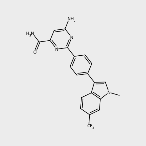 Cn1cc(-c2ccc(-c3nc(N)cc(C(N)=O)n3)cc2)c2ccc(C(F)(F)F)cc21